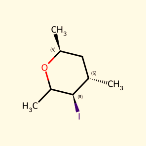 CC1O[C@@H](C)C[C@H](C)[C@H]1I